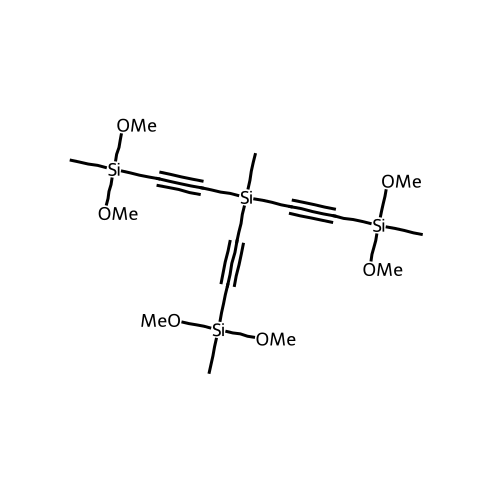 CO[Si](C)(C#C[Si](C)(C#C[Si](C)(OC)OC)C#C[Si](C)(OC)OC)OC